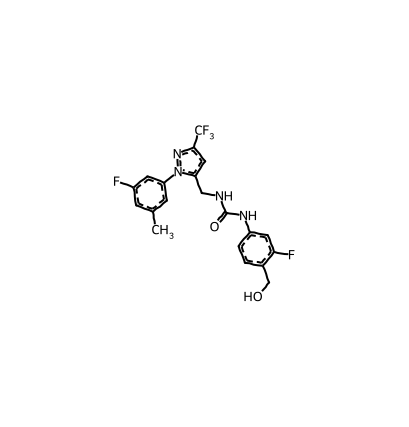 Cc1cc(F)cc(-n2nc(C(F)(F)F)cc2CNC(=O)Nc2ccc(CO)c(F)c2)c1